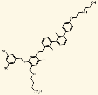 Cc1c(COc2nc(OCc3cc(C#N)cc(C#N)c3)c(CNCCCC(=O)O)cc2Cl)cccc1-c1cccc(-c2ccc(OCCNCCO)cc2)c1C